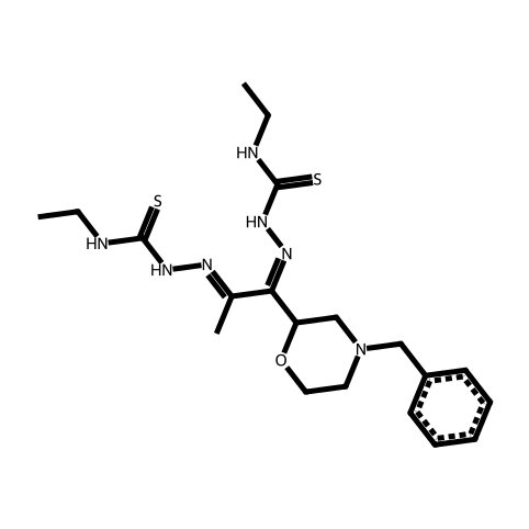 CCNC(=S)N/N=C(C)/C(=N\NC(=S)NCC)C1CN(Cc2ccccc2)CCO1